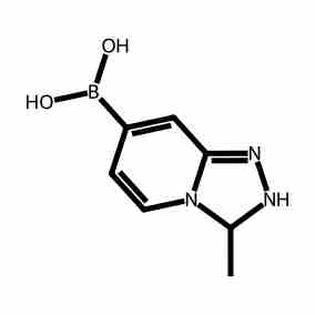 CC1NN=C2C=C(B(O)O)C=CN21